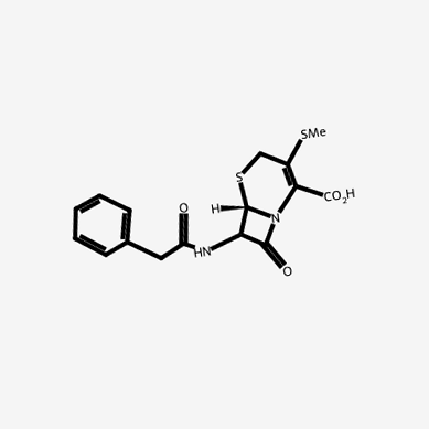 CSC1=C(C(=O)O)N2C(=O)C(NC(=O)Cc3ccccc3)[C@@H]2SC1